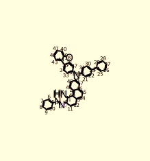 N=C1/C(=N\Nc2ccccc2)C=Cc2ccc3cc(N(c4ccc(-c5ccccc5)cc4)c4ccc5c(c4)oc4ccccc45)ccc3c21